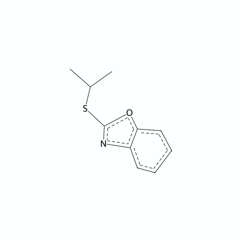 CC(C)Sc1nc2ccccc2o1